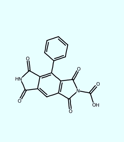 O=C(O)n1c(=O)c2cc3c(=O)[nH]c(=O)c3c(-c3ccccc3)c2c1=O